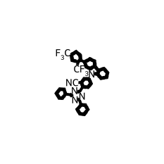 N#Cc1cc(-n2c3ccccc3c3ccc(-c4ccc(C(F)(F)F)cc4C(F)(F)F)cc32)ccc1-c1nc(-c2ccccc2)nc(-c2ccccc2)n1